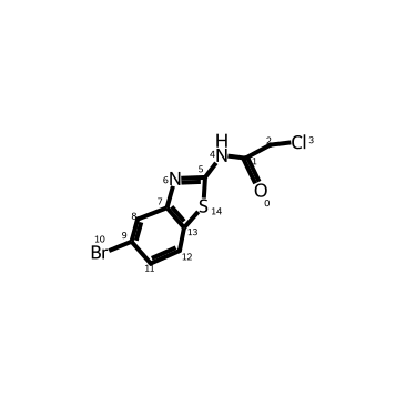 O=C(CCl)Nc1nc2cc(Br)ccc2s1